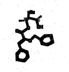 CCCCC([C@H](C)O)[C@@H](C)OC(=O)C(=Cc1ccccc1)OCc1ccccc1